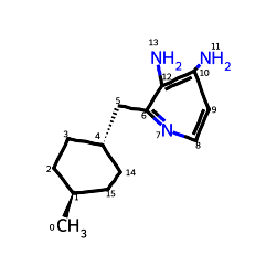 C[C@H]1CC[C@H](Cc2nccc(N)c2N)CC1